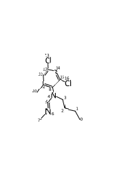 CCCCN(C=NC)c1c(C)cc(Cl)cc1Cl